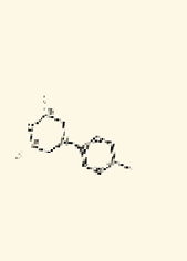 Cc1ccc(N2C[C@@H](C)O[C@@H](C)C2)cc1